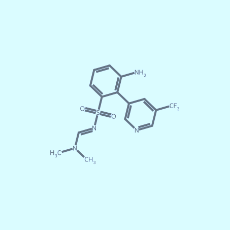 CN(C)C=NS(=O)(=O)c1cccc(N)c1-c1cncc(C(F)(F)F)c1